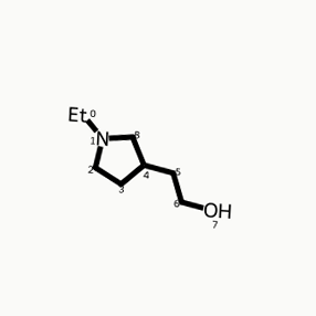 CCN1CCC(CCO)C1